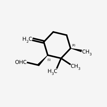 C=C1CC[C@@H](C)C(C)(C)[C@H]1CC=O